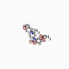 CCCO[C@H]1CC[C@](C)(N2CCC(n3c(=O)oc4ccc(S(C)(=O)=O)cc43)CC2)CC1